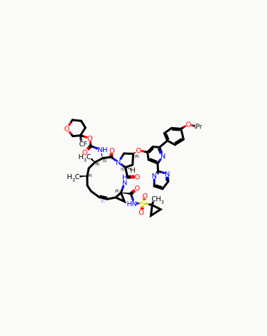 CC(C)Oc1ccc(-c2cc(O[C@@H]3C[C@H]4C(=O)N[C@]5(C(=O)NS(=O)(=O)C6(C)CC6)CC5/C=C\CC[C@@H](C)C[C@@H](C)[C@H](NC(=O)OC5(C(F)(F)F)CCCOC5)C(=O)N4C3)cc(-c3ncccn3)n2)cc1